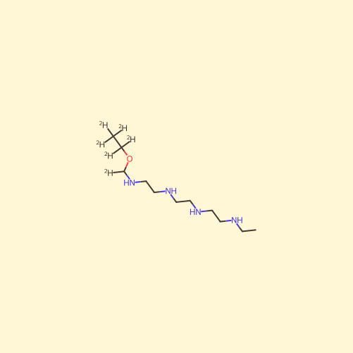 [2H]C(NCCNCCNCCNCC)OC([2H])([2H])C([2H])([2H])[2H]